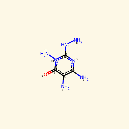 NNc1nc(N)c(N)c(=O)n1N